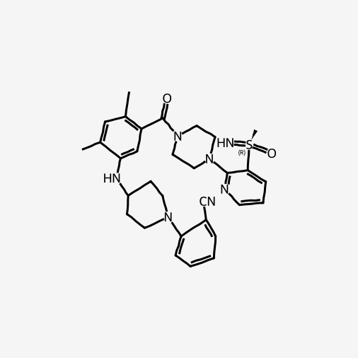 Cc1cc(C)c(C(=O)N2CCN(c3ncccc3[S@](C)(=N)=O)CC2)cc1NC1CCN(c2ccccc2C#N)CC1